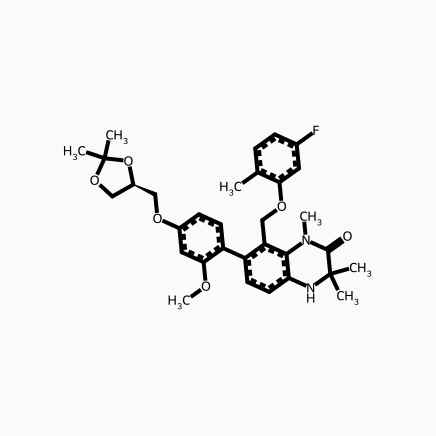 COc1cc(OC[C@H]2COC(C)(C)O2)ccc1-c1ccc2c(c1COc1cc(F)ccc1C)N(C)C(=O)C(C)(C)N2